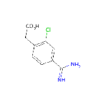 N=C(N)c1ccc(CC(=O)O)c(Cl)c1